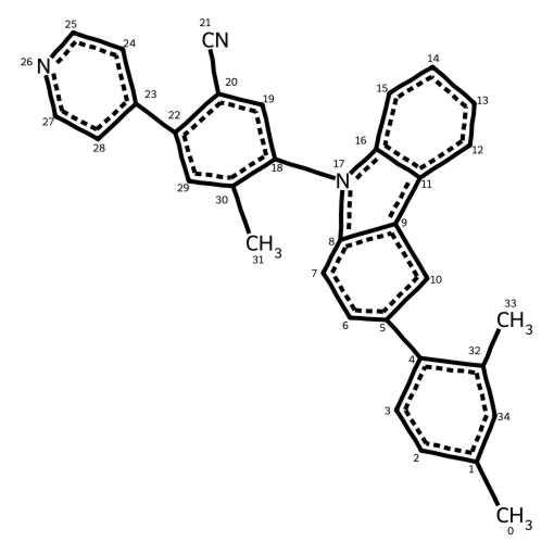 Cc1ccc(-c2ccc3c(c2)c2ccccc2n3-c2cc(C#N)c(-c3ccncc3)cc2C)c(C)c1